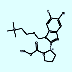 CC(C)(C)OC(=O)N1CCC[C@H]1c1nc2cc(Br)c(F)cc2n1COCC[Si](C)(C)C